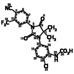 CC1(C)C(=O)N(c2ccc(C#N)c(C(F)(F)F)c2)C(=O)N1c1ccc(Cl)c(NC(=O)O)c1